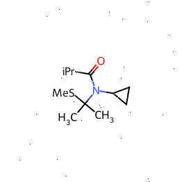 CSC(C)(C)N(C(=O)C(C)C)C1CC1